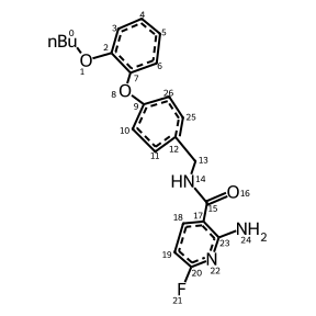 CCCCOc1ccccc1Oc1ccc(CNC(=O)c2ccc(F)nc2N)cc1